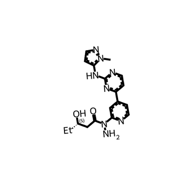 CC[C@H](O)CC(=O)N(N)c1cc(-c2ccnc(Nc3ccnn3C)n2)ccn1